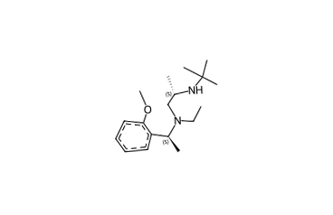 CCN(C[C@H](C)NC(C)(C)C)[C@@H](C)c1ccccc1OC